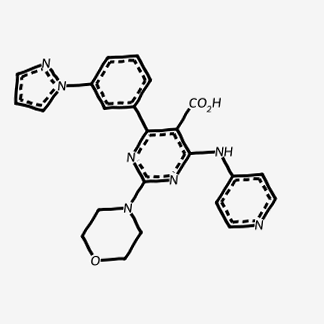 O=C(O)c1c(Nc2ccncc2)nc(N2CCOCC2)nc1-c1cccc(-n2cccn2)c1